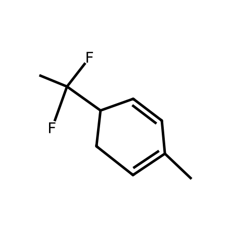 CC1=CCC(C(C)(F)F)C=C1